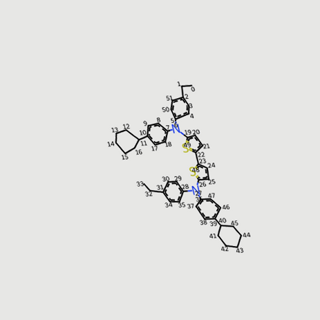 CCc1ccc(N(c2ccc(C3CCCCC3)cc2)c2ccc(-c3ccc(N(c4ccc(CC)cc4)c4ccc(C5CCCCC5)cc4)s3)s2)cc1